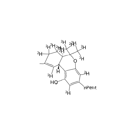 [2H]C1=C(C)C([2H])([2H])C([2H])([2H])[C@]2([2H])[C@@H]1c1c(O)c([2H])c(CCCCC)c([2H])c1OC2(C([2H])([2H])[2H])C([2H])([2H])[2H]